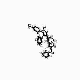 Fc1ccc(-c2[nH]cc(C3=CC4CC(=Cc5ccccc5)CN4CC3)c2-c2ccncc2)cc1